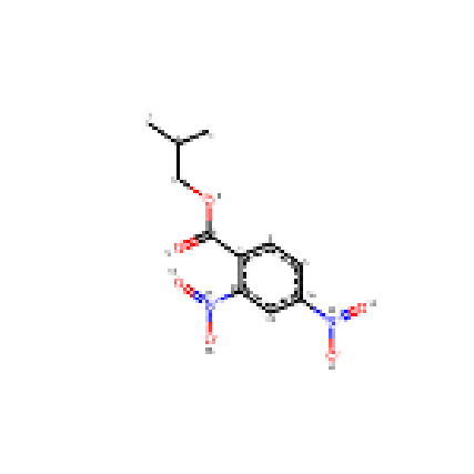 CC(C)COC(=O)c1ccc([N+](=O)[O-])cc1[N+](=O)[O-]